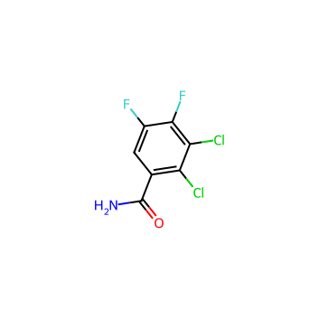 NC(=O)c1cc(F)c(F)c(Cl)c1Cl